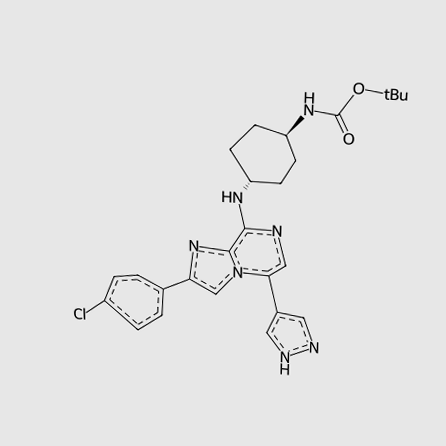 CC(C)(C)OC(=O)N[C@H]1CC[C@H](Nc2ncc(-c3cn[nH]c3)n3cc(-c4ccc(Cl)cc4)nc23)CC1